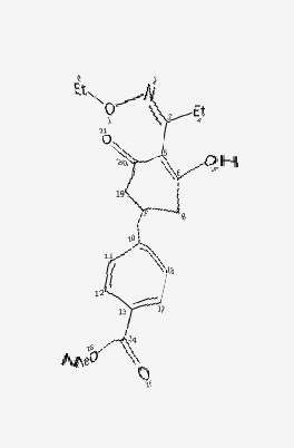 CCO/N=C(/CC)C1=C(O)CC(c2ccc(C(=O)OC)cc2)CC1=O